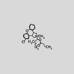 CCCC(=O)OC(C(C)C)[N+]1(C)CC2c3ccccc3Oc3ccc(Cl)cc3C2C1